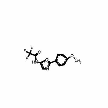 COc1ccc(-c2ncc(NC(=O)C(F)(F)F)o2)cc1